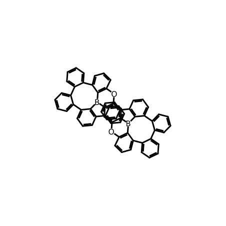 c1ccc(-c2cccc3c2B2c4cc5c(cc4Oc4cccc(c42)-c2ccccc2-c2ccccc2-3)B2c3c(cccc3-c3ccccc3-c3ccccc3-c3cccc(-c4ccccc4)c32)O5)cc1